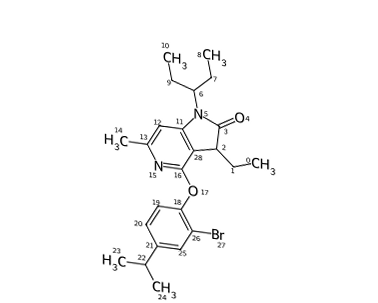 CCC1C(=O)N(C(CC)CC)c2cc(C)nc(Oc3ccc(C(C)C)cc3Br)c21